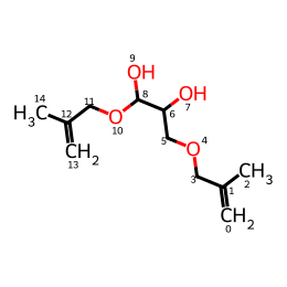 C=C(C)COCC(O)C(O)OCC(=C)C